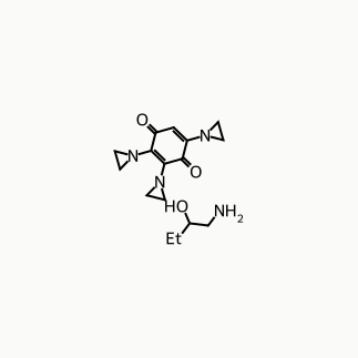 CCC(O)CN.O=C1C=C(N2CC2)C(=O)C(N2CC2)=C1N1CC1